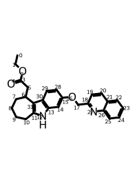 CCOC(=O)CC1CCCCc2[nH]c3cc(OCc4ccc5ccccc5n4)ccc3c21